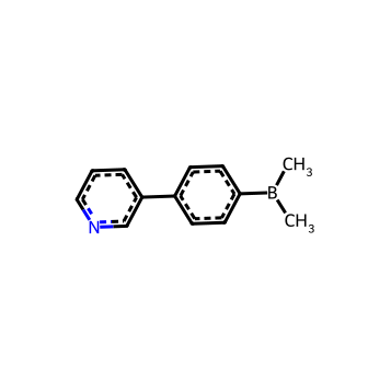 CB(C)c1ccc(-c2cccnc2)cc1